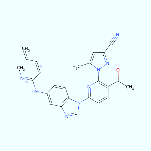 C=C/C=C\C(=N/C)Nc1ccc2c(c1)ncn2-c1ccc(C(C)=O)c(-n2nc(C#N)cc2C)n1